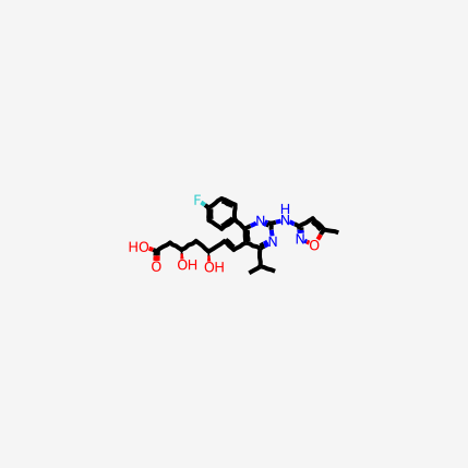 Cc1cc(Nc2nc(-c3ccc(F)cc3)c(/C=C/[C@@H](O)C[C@@H](O)CC(=O)O)c(C(C)C)n2)no1